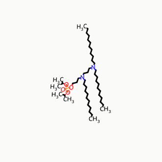 CCCCCCCCCCCCN(CCCCCCCCCCCC)CCCN(CCCCCCCCCCCC)CCCOP(=O)(OC(C)C)OC(C)C